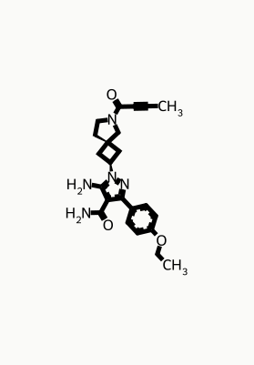 CC#CC(=O)N1CC[C@]2(C1)C[C@H](n1nc(-c3ccc(OCC)cc3)c(C(N)=O)c1N)C2